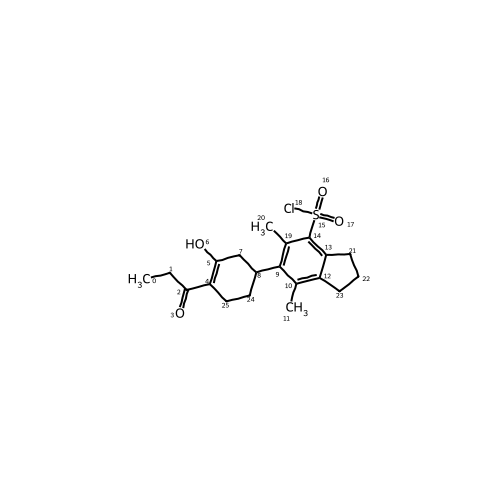 CCC(=O)C1=C(O)CC(c2c(C)c3c(c(S(=O)(=O)Cl)c2C)CCC3)CC1